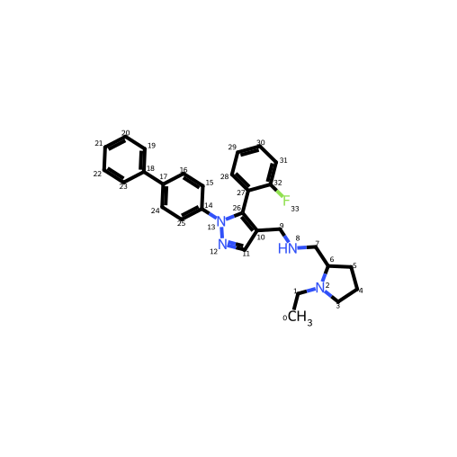 CCN1CCCC1CNCc1cnn(-c2ccc(-c3ccccc3)cc2)c1-c1ccccc1F